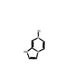 CC(=O)N1C=CN2C=CNC2=C1